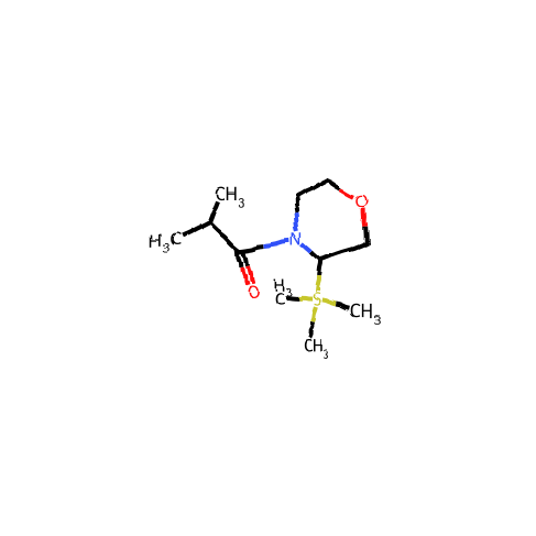 CC(C)C(=O)N1CCOCC1S(C)(C)C